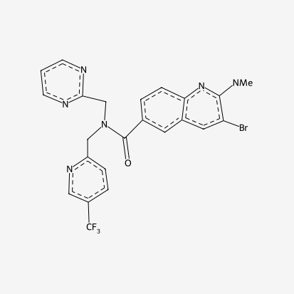 CNc1nc2ccc(C(=O)N(Cc3ccc(C(F)(F)F)cn3)Cc3ncccn3)cc2cc1Br